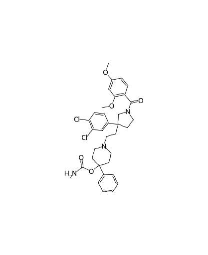 COc1ccc(C(=O)N2CCC(CCN3CCC(OC(N)=O)(c4ccccc4)CC3)(c3ccc(Cl)c(Cl)c3)C2)c(OC)c1